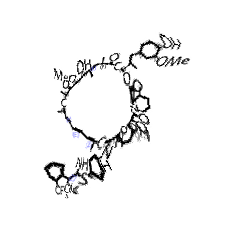 CO[C@@H]1C[C@@H](CC(C)[C@@H]2CC(=O)[C@H](C)/C=C(\C)[C@@H](O)[C@@H](OC)C(=O)[C@H](C)C[C@H](C)/C=C/C=C/C=C(/C)C[C@H](Nc3ccc(S/C(N)=C(\C#N)c4ccccc4C(F)(F)F)cc3)[C@@H]3CC[C@@H](C)[C@@](O)(O3)C(=O)C(=O)N3CCCC[C@H]3C(=O)O2)CC[C@H]1O